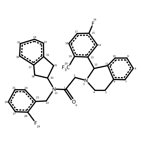 O=C(CN1CCc2ccccc2C1c1cc(F)ccc1C(F)(F)F)N(Cc1ccccc1F)C1Cc2ccccc2C1